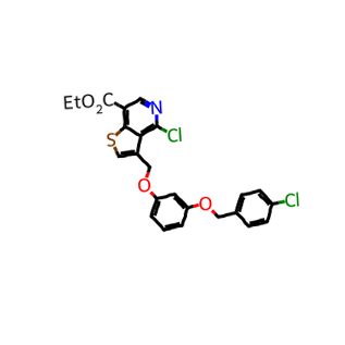 CCOC(=O)c1cnc(Cl)c2c(COc3cccc(OCc4ccc(Cl)cc4)c3)csc12